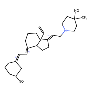 C=CC12CCC/C(=C\C=C3\CCCC(N=O)C3)C1CC/C2=C\CN1CCC(N=O)(C(F)(F)F)CC1